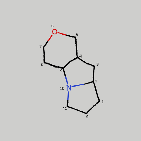 C1CC2CC3COCCC3N2C1